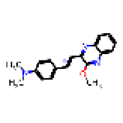 COc1nc2ccccc2nc1/C=C/c1ccc(N(C)C)cc1